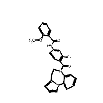 O=C(Nc1ccc(C(=O)N2CCc3cccn3-c3ccccc32)c(Cl)c1)c1ccccc1OC(F)(F)F